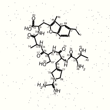 CCc1ccc2oc(CC(NC(=O)C(C)NC(=O)C(CO)NC(=O)C(CC3=CCN(C(=N)N)C3)NC(=O)C(N)C(C)O)C(=O)O)c(C)c2c1